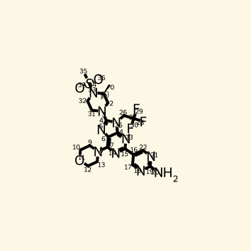 C[C@H]1CN(c2nc3c(N4CCOCC4)nc(-c4cnc(N)nc4)nc3n2CC(F)(F)F)CCN1S(C)(=O)=O